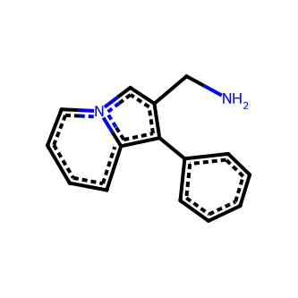 NCc1cn2ccccc2c1-c1ccccc1